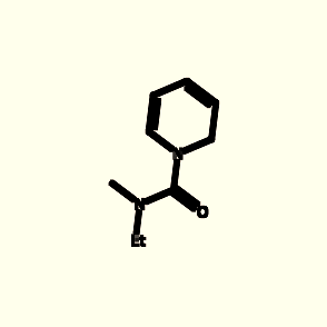 CCN(C)C(=O)N1C=CC=CC1